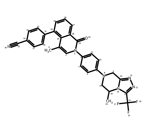 Cc1cn(-c2ccc(N3Cc4nnc(C(F)(F)F)n4C(C)C3)cc2)c(=O)c2cccc(-c3ccc(C#N)cc3)c12